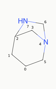 C1CC2CN(C1)CN2